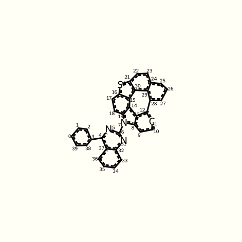 c1ccc(-c2nc(-n3c4cccc5c4c4c6c(ccc43)sc3ccc4cccc-5c4c36)nc3ccccc23)cc1